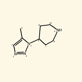 Cc1cnnn1C1CCNCC1